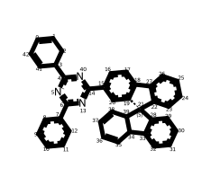 C1=CCC(c2nc(-c3ccccc3)nc(-c3ccc4c(c3)[C@]3(c5ccccc5-4)c4ccccc4C4C=CC=CC43)n2)C=C1